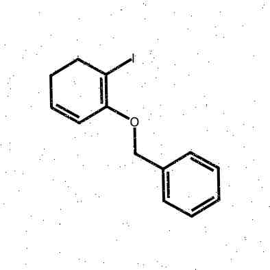 IC1=C(OCc2ccccc2)C=CC[CH]1